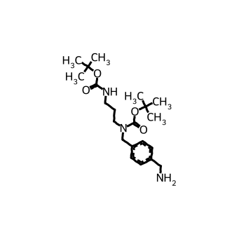 CC(C)(C)OC(=O)NCCCN(Cc1ccc(CN)cc1)C(=O)OC(C)(C)C